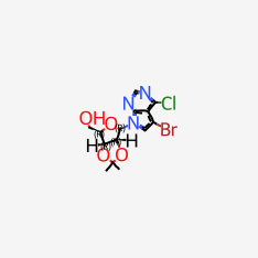 CC1(C)O[C@@H]2[C@H](O1)[C@@H](CO)O[C@H]2n1cc(Br)c2c(Cl)ncnc21